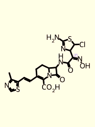 Cc1ncsc1C=CC1=C(C(=O)O)N2C(=O)C(NC(=O)/C(=N\O)C3N=C(N)SC3Cl)C2CC1